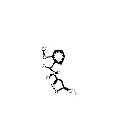 C=C1CC(S(=O)(=O)C(F)c2ccccc2OC(F)(F)F)=NO1